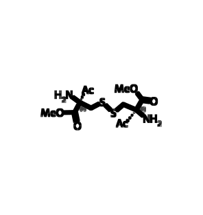 COC(=O)[C@@](N)(CSSC[C@@](N)(C(C)=O)C(=O)OC)C(C)=O